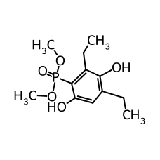 CCc1cc(O)c(P(=O)(OC)OC)c(CC)c1O